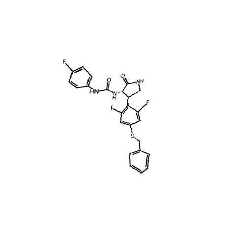 O=C(Nc1ccc(F)cc1)N[C@@H]1C(=O)NC[C@H]1c1c(F)cc(OCc2ccccc2)cc1F